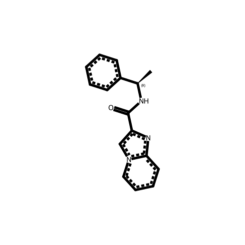 C[C@@H](NC(=O)c1cn2ccccc2n1)c1ccccc1